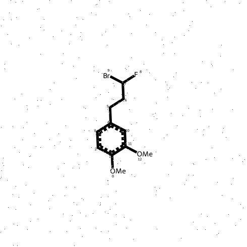 COc1ccc(CCC(F)Br)cc1OC